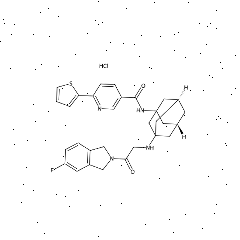 Cl.O=C(NC12C[C@@H]3C[C@@H](CC(NCC(=O)N4Cc5ccc(F)cc5C4)(C3)C1)C2)c1ccc(-c2cccs2)nc1